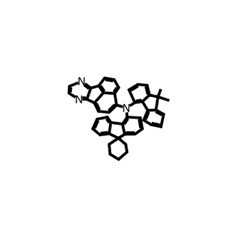 CC1(C)c2ccccc2-c2c(N(c3cccc4c3-c3ccccc3C43CCCCC3)c3ccc4c5c(cccc35)-c3nccnc3-4)cccc21